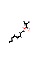 C=C/C=C\C=C/CCOC(=O)C(=C)C